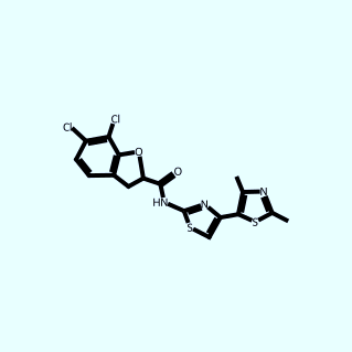 Cc1nc(C)c(-c2csc(NC(=O)C3Cc4ccc(Cl)c(Cl)c4O3)n2)s1